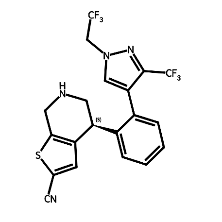 N#Cc1cc2c(s1)CNC[C@H]2c1ccccc1-c1cn(CC(F)(F)F)nc1C(F)(F)F